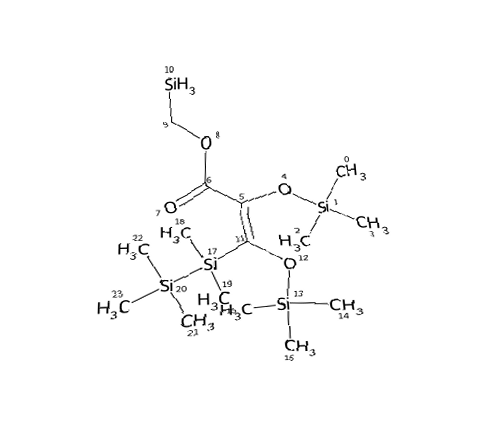 C[Si](C)(C)OC(C(=O)OC[SiH3])=C(O[Si](C)(C)C)[Si](C)(C)[Si](C)(C)C